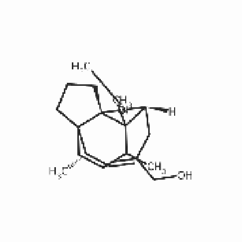 CC1CCC23CCC[C@]24N(C)O[C@H](C/C(CO)=C\[C@@H]3C)C14C